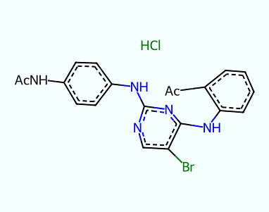 CC(=O)Nc1ccc(Nc2ncc(Br)c(Nc3ccccc3C(C)=O)n2)cc1.Cl